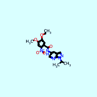 CCOc1cc(C(=O)Nc2cnc3c(cnn3C(C)C)c2)c([N+](=O)[O-])cc1OC